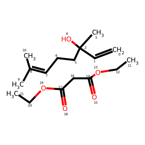 C=CC(C)(O)CCC=C(C)C.CCOC(=O)CC(=O)OCC